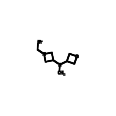 CC(C)CN1CC(N(C)C2COC2)C1